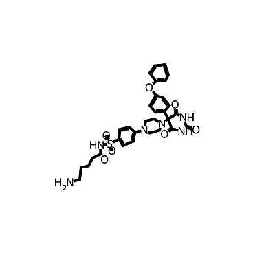 NCCCCC(=O)NS(=O)(=O)c1ccc(N2CCN(C3(c4ccc(Oc5ccccc5)cc4)C(=O)NC(=O)NC3=O)CC2)cc1